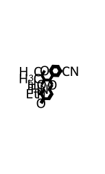 CCN1NC(OC2c3cc(C#N)ccc3OC(C)(C)C2O)C=CC1=O